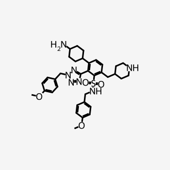 COc1ccc(CNS(=O)(=O)c2c(CC3CCNCC3)ccc(C3CCC(N)CC3)c2-c2nnn(Cc3ccc(OC)cc3)n2)cc1